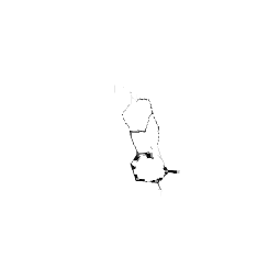 CN1CC2CC(C1)c1ccc(I)c(=O)n1C2